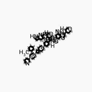 Cc1ccccc1[C@@H]1CN(c2cccnc2)CCN1C1CC2(CCN(c3ccc(C(=O)NS(=O)(=O)c4cc5c(c([N+](=O)[O-])c4)N[C@H](C4CCOCC4)CO5)c(N4c5cc6cc[nH]c6nc5O[C@H]5COCC[C@@H]54)c3)CC2)C1